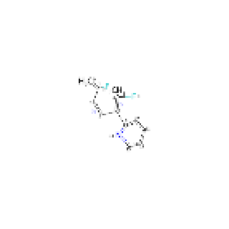 C=C(F)/C=C\C(=C(/C)F)c1ccccn1